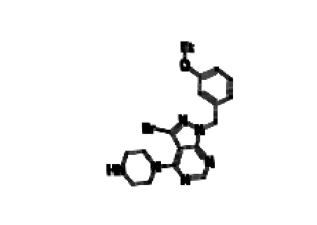 CCOc1cccc(Cn2nc(Br)c3c(N4CCNCC4)ncnc32)c1